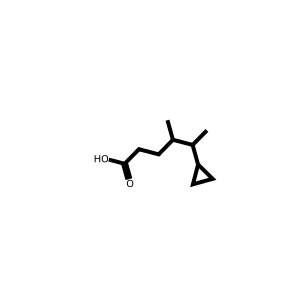 CC(CCC(=O)O)C(C)C1CC1